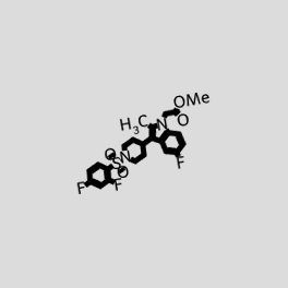 COC(=O)Cn1c(C)c(C2CCN(S(=O)(=O)c3ccc(F)cc3F)CC2)c2cc(F)ccc21